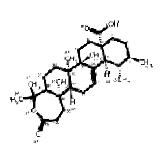 C[C@H]1[C@H](C)CC[C@]2(C(=O)O)CC[C@]3(C)C(=CC[C@@H]4[C@@]5(C)CCC(=O)OC(C)(C)C5CC[C@]43C)[C@H]12